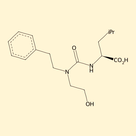 CC(C)C[C@H](NC(=O)N(CCO)CCc1ccccc1)C(=O)O